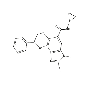 Cc1nc2c3c(c(C(=S)NC4CC4)cc2n1C)CCC(c1ccccc1)O3